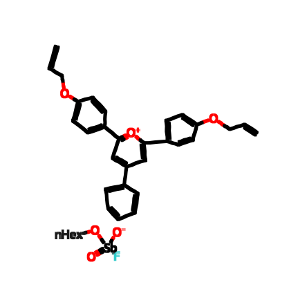 C=CCOc1ccc(-c2cc(-c3ccccc3)cc(-c3ccc(OCC=C)cc3)[o+]2)cc1.CCCCCC[O][Sb](=[O])([O-])[F]